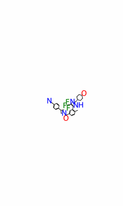 CO[C@H]1CC[C@H](c2nc(C(F)(F)F)c(-c3cc(C(=O)N4CC(c5ccc(C#N)cc5)C4)ccc3C)[nH]2)CC1